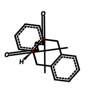 O=C1OC(=O)[C@H]2C3c4ccccc4C(c4ccccc43)C12